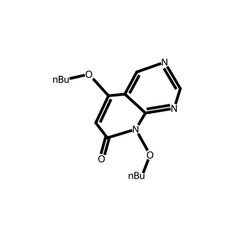 CCCCOc1cc(=O)n(OCCCC)c2ncncc12